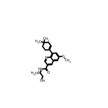 COc1cc(C2=CCC(C)(C)CC2)c2ncc(C(=O)N[C@H](C)CO)cc2c1